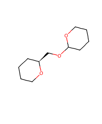 C1CCC(OC[C@@H]2CCCCO2)OC1